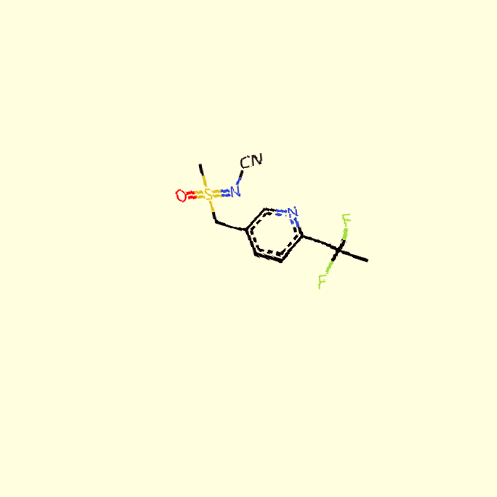 CC(F)(F)c1ccc(CS(C)(=O)=NC#N)cn1